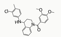 COc1ccc(C(=O)N2CCC(Nc3ccc(C)c(Cl)c3)c3ccccc32)cc1OC